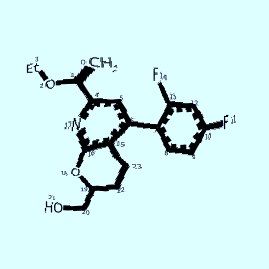 C=C(OCC)c1cc(-c2ccc(F)cc2F)c2c(n1)OC(CO)CC2